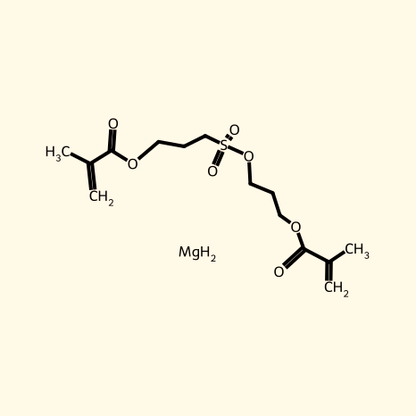 C=C(C)C(=O)OCCCOS(=O)(=O)CCCOC(=O)C(=C)C.[MgH2]